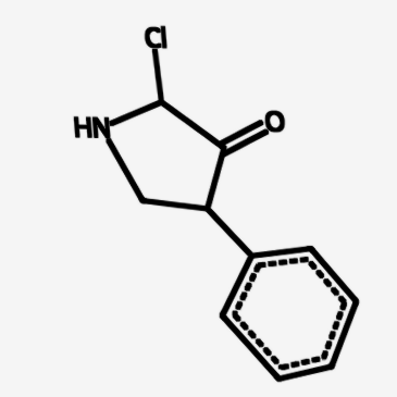 O=C1C(Cl)NCC1c1ccccc1